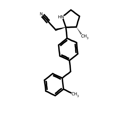 Cc1ccccc1Cc1ccc([C@]2(CC#N)NCC[C@@H]2C)cc1